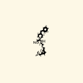 CN(C)Cc1ccc(CSCCNC(=C[N+](=O)[O-])N2CCC(Cc3ccccc3)CC2)o1